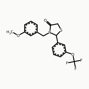 COc1cccc(CN2C(=O)CSC2c2cccc(OC(F)(F)F)c2)c1